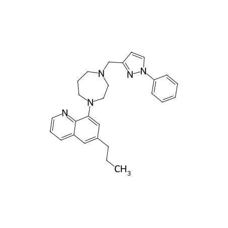 CCCc1cc(N2CCCN(Cc3ccn(-c4ccccc4)n3)CC2)c2ncccc2c1